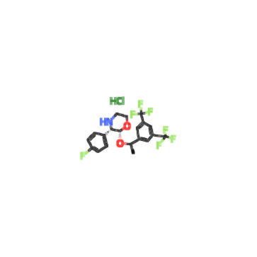 C[C@@H](O[C@H]1OCCN[C@H]1c1ccc(F)cc1)c1cc(C(F)(F)F)cc(C(F)(F)F)c1.Cl